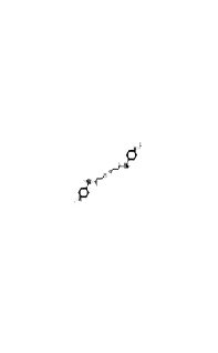 O=C(NCCSSCCNC(=O)c1ccc(OC(F)(F)F)cc1)c1ccc(OC(F)(F)F)cc1